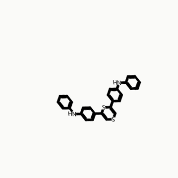 C1=C(c2ccc(Nc3ccccc3)cc2)SC(c2ccc(Nc3ccccc3)cc2)=CS1